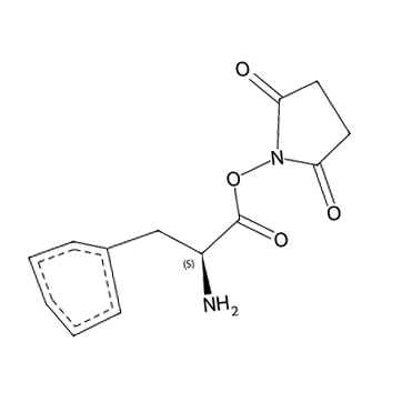 N[C@@H](Cc1ccccc1)C(=O)ON1C(=O)CCC1=O